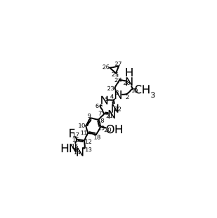 C[C@@H]1CN(c2ncc(-c3ccc(-c4cn[nH]c4F)cc3O)nn2)C[C@H](C2CC2)N1